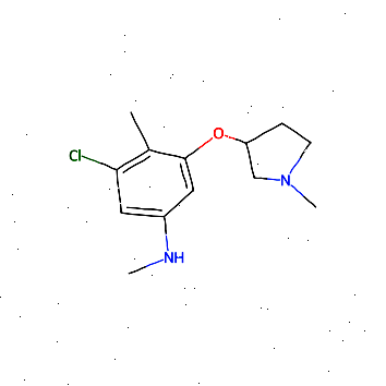 CNc1cc(Cl)c(C)c(OC2CCN(C)C2)c1